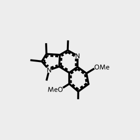 COc1cc(C)c(OC)c2c1nc(C)c1c(C)c(C)n(C)c12